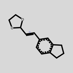 C(=C\C1OCCO1)/c1ccc2c(c1)CCC2